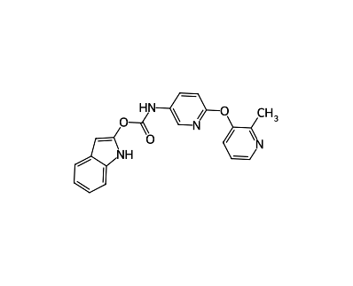 Cc1ncccc1Oc1ccc(NC(=O)Oc2cc3ccccc3[nH]2)cn1